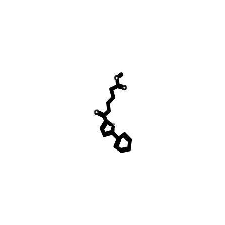 COC(=O)CCCCC(=O)c1ccc(-c2ccccc2)s1